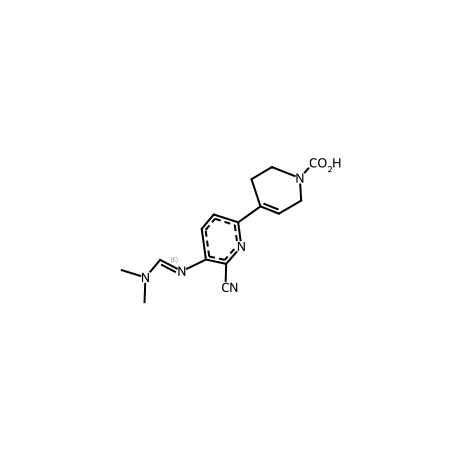 CN(C)/C=N/c1ccc(C2=CCN(C(=O)O)CC2)nc1C#N